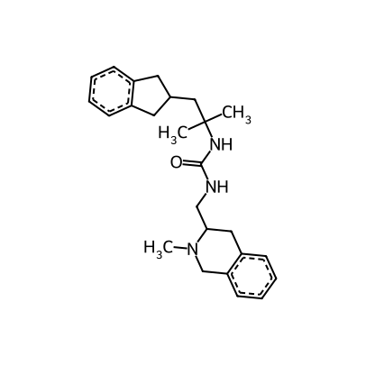 CN1Cc2ccccc2CC1CNC(=O)NC(C)(C)CC1Cc2ccccc2C1